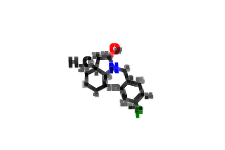 CC12CCCC=C1N(Cc1ccc(F)cc1)C(=O)C2